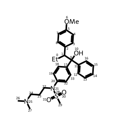 CCC(c1ccc(OC)cc1)C(O)(c1ccccc1)c1ccc(N(CCCN(C)C)S(C)(=O)=O)cc1